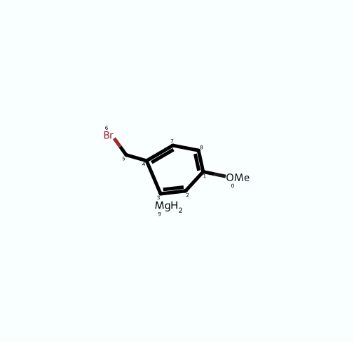 COc1ccc(CBr)cc1.[MgH2]